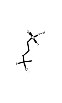 [CH2]CCCCCCS(=O)(=O)CCCC(F)(F)C(F)(F)F